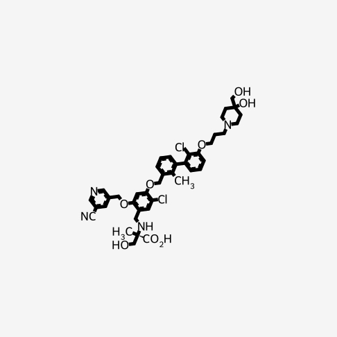 Cc1c(COc2cc(OCc3cncc(C#N)c3)c(CN[C@](C)(CO)C(=O)O)cc2Cl)cccc1-c1cccc(OCCCN2CCC(O)(CO)CC2)c1Cl